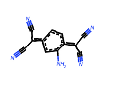 N#CC(C#N)=c1ccc(=C(C#N)C#N)c(N)c1